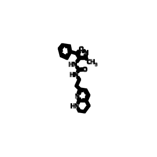 Cc1noc(-c2ccccc2)c1NC(=O)NCCc1ccc2c(n1)NCCC2